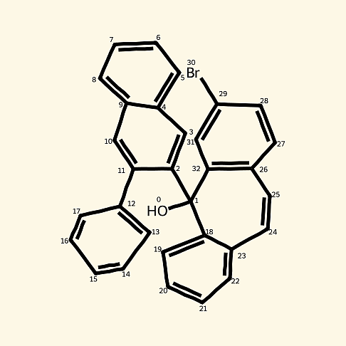 OC1(c2cc3ccccc3cc2-c2ccccc2)c2ccccc2C=Cc2ccc(Br)cc21